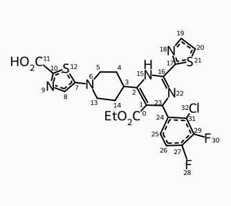 CCOC(=O)C1=C(C2CCN(c3cnc(C(=O)O)s3)CC2)NC(c2nccs2)=NC1c1ccc(F)c(F)c1Cl